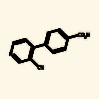 N#Cc1cnccc1-c1ccc(C(=O)O)cc1